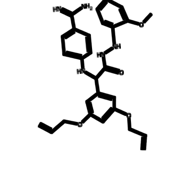 C=CCOc1cc(OCC=C)cc(C(Nc2ccc(C(=N)N)cc2)C(=O)NNc2ccccc2OC)c1